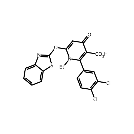 CCn1c(Oc2nc3ccccc3s2)cc(=O)c(C(=O)O)c1-c1ccc(Cl)c(Cl)c1